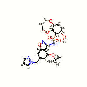 [2H]C([2H])([2H])Oc1cc(Cn2cccn2)cc2onc(NS(=O)(=O)c3c(OC)ccc4c3OCCCO4)c12